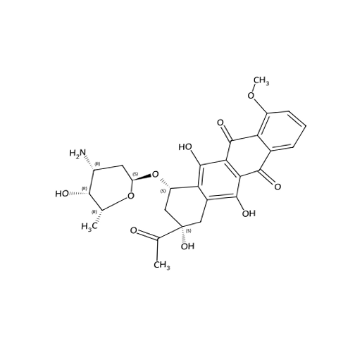 COc1cccc2c1C(=O)c1c(O)c3c(c(O)c1C2=O)C[C@@](O)(C(C)=O)C[C@@H]3O[C@@H]1C[C@@H](N)[C@@H](O)[C@@H](C)O1